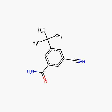 CC(C)(C)c1cc(C#N)cc(C(N)=O)c1